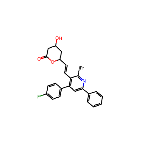 CC(C)c1nc(-c2ccccc2)cc(-c2ccc(F)cc2)c1/C=C/C1CC(O)CC(=O)O1